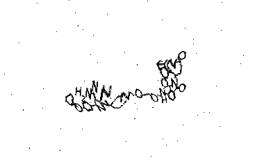 C=N/C(N)=C1/C(c2ccc(Oc3ccccc3)cc2)=NN(C2CCCN(CCOCCOCCNc3cccc4c3C(=O)N(C3CCC(=O)NC3=O)C4=O)C2)/C1=N/C